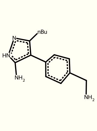 CCCCc1n[nH]c(N)c1-c1ccc(CN)cc1